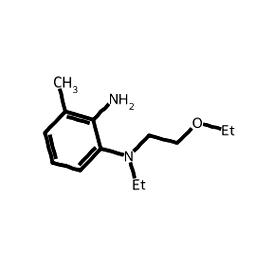 CCOCCN(CC)c1cccc(C)c1N